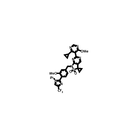 COc1cc(CN2c3nc(-c4c(OC)ncnc4C4CC4)ncc3C3(CC3)S2(=O)=O)ccc1-c1nc(C(F)(F)F)cn1C(C)C